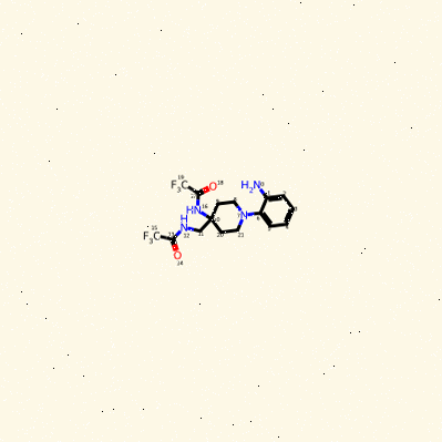 Nc1ccccc1N1CCC(CNC(=O)C(F)(F)F)(NC(=O)C(F)(F)F)CC1